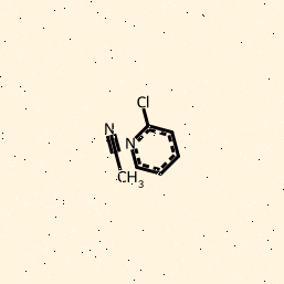 CC#N.Clc1ccccn1